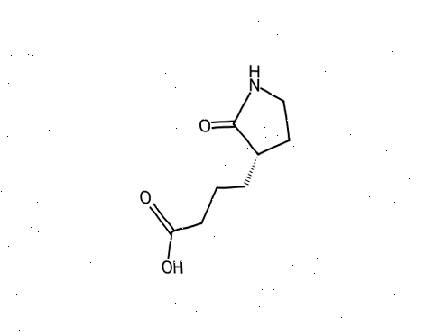 O=C(O)CCC[C@H]1CCNC1=O